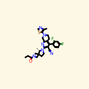 CCC(=O)N1CC2(CCN(c3nc4c(c(-c5ccc(F)cc5F)c3C#N)CCN(c3scnc3C)C4)[C@H]2C)C1